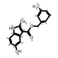 Cc1cccc(COC(=O)c2c(C)[nH]c3ccc(O)cc23)c1